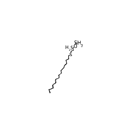 CCCCCCCCCCCCCCCCSCC[SiH2]O[SiH3]